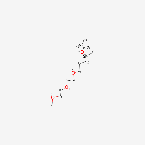 COCCOCCOCCC[SiH](C)O[Si](C)(C)C